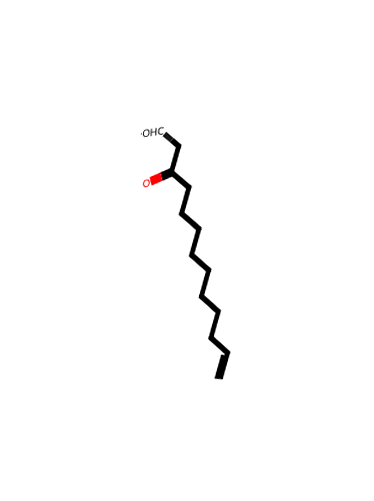 C=CCCCCCCCCC(=O)C[C]=O